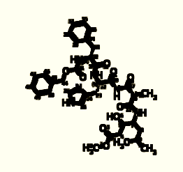 COC(=O)CC(O)C(CC(C)C)NC(=O)N(C)C(=O)NC(=O)[C@H](Cc1c[nH]cn1)NC(=O)[C@H](Cc1ccccc1)NC(=O)OCc1ccccc1